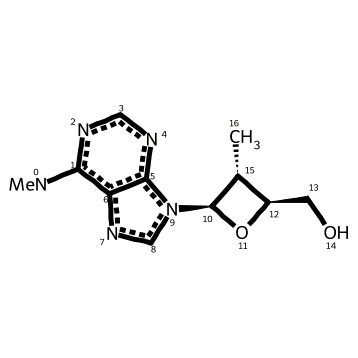 CNc1ncnc2c1ncn2[C@@H]1O[C@H](CO)[C@H]1C